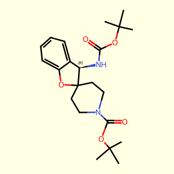 CC(C)(C)OC(=O)N[C@@H]1c2ccccc2OC12CCN(C(=O)OC(C)(C)C)CC2